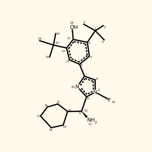 CC(C)(C)c1cc(-c2cn(F)c([C@@H](N)C3CCCCC3)n2)cc(C(C)(C)C)c1O